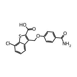 NC(=O)c1ccc(OCc2c(C(=O)O)sc3c(Cl)cccc23)cc1